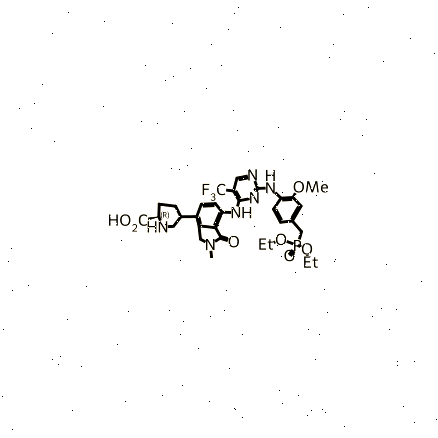 CCOP(=O)(Cc1ccc(Nc2ncc(C(F)(F)F)c(Nc3ccc(C4CC[C@H](C(=O)O)NC4)c4c3C(=O)N(C)C4)n2)c(OC)c1)OCC